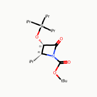 CC(C)[C@@H]1[C@H](O[Si](C(C)C)(C(C)C)C(C)C)C(=O)N1C(=O)OC(C)(C)C